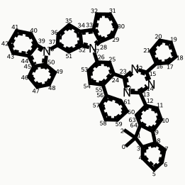 CC1(C)c2ccccc2-c2ccc(-c3nc(-c4ccccc4)nc(-c4cc(-n5c6ccccc6c6ccc(-n7c8ccccc8c8ccccc87)cc65)ccc4-c4ccccc4)n3)cc21